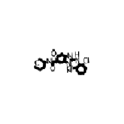 COc1cc2nc(Nc3c(Cl)cccc3Cl)[nH]c2cc1C(=O)NC1CCCCC1